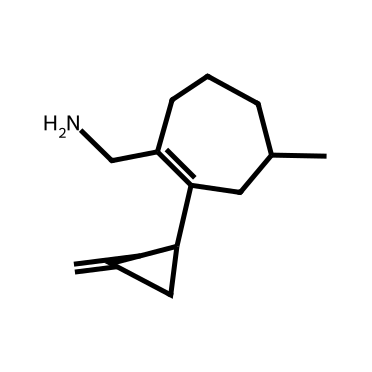 C=C1CC1C1=C(CN)CCCC(C)C1